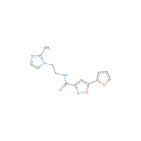 Cc1nccn1CCNC(=O)c1cc(-c2ccco2)on1